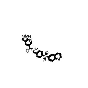 O=C(NCc1ccc(S(=O)(=O)c2ccc3ncccc3c2)cc1)c1cnc2[nH]ncc2c1